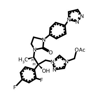 CC(=O)OCn1cn[n+](C[C@](O)(c2ccc(F)cc2F)[C@@H](C)N2CCN(c3ccc(-n4ccnn4)cc3)C2=O)c1